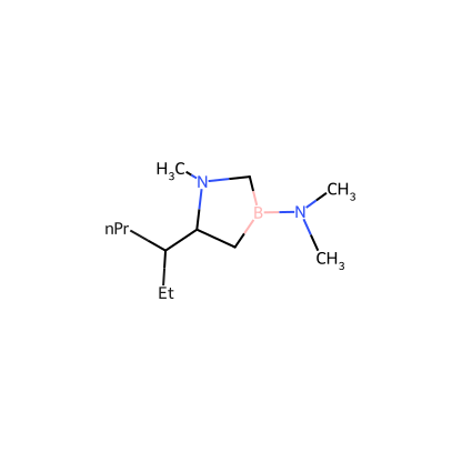 CCCC(CC)C1CB(N(C)C)CN1C